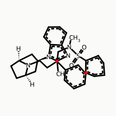 Cc1nc2ccccc2n1[C@H]1C[C@H]2CC[C@@H](C1)N2CCC(CN(C)S(=O)(=O)c1ccccc1)c1ccccc1